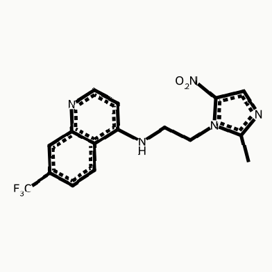 Cc1ncc([N+](=O)[O-])n1CCNc1ccnc2cc(C(F)(F)F)ccc12